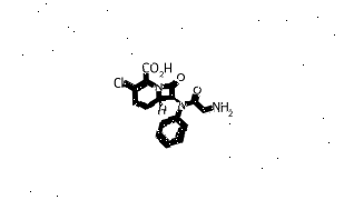 NCC(=O)N(c1ccccc1)[C@@H]1C(=O)N2C(C(=O)O)=C(Cl)CC[C@@H]12